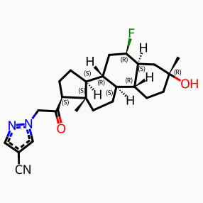 C[C@@]1(O)CC[C@@H]2[C@H]3CC[C@]4(C)[C@@H](C(=O)Cn5cc(C#N)cn5)CC[C@H]4[C@@H]3C[C@@H](F)[C@H]2C1